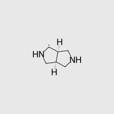 [CH]1NC[C@@H]2CNC[C@H]12